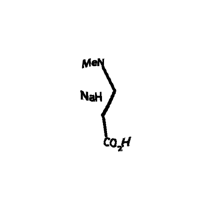 CNCCC(=O)O.[NaH]